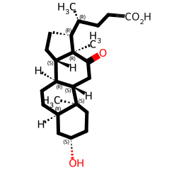 C[C@H](CCC(=O)O)[C@H]1CC[C@H]2[C@@H]3CC[C@@H]4C[C@@H](O)CC[C@]4(C)[C@H]3CC(=O)[C@]12C